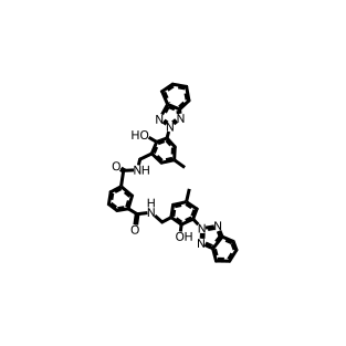 Cc1cc(CNC(=O)c2cccc(C(=O)NCc3cc(C)cc(-n4nc5ccccc5n4)c3O)c2)c(O)c(-n2nc3ccccc3n2)c1